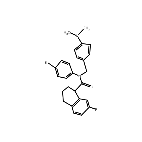 CN(C)c1ccc(CN(C(=O)C2CCCc3ccc(F)cc32)c2ccc(Br)cc2)cc1